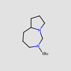 CC(C)(C)N1CCCC2CCCN2C1